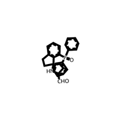 O=CC1CC[C@]2(CCc3cccc(P(=O)(c4ccccc4)c4ccccc4)c32)N1